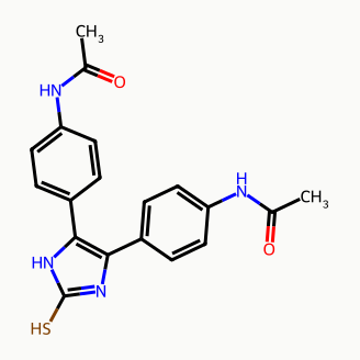 CC(=O)Nc1ccc(-c2nc(S)[nH]c2-c2ccc(NC(C)=O)cc2)cc1